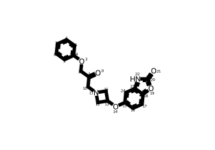 O=C(COc1ccccc1)CN1CC(Oc2ccc3oc(=O)[nH]c3c2)C1